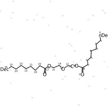 CCCCCCCCCCCCCCCCCC(=O)OCCOCCOC(=O)CCCCCCCCCCCCCCCCC